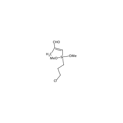 CO[Si](C=C(C)C=O)(CCCCl)OC